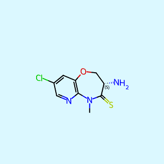 CN1C(=S)[C@@H](N)COc2cc(Cl)cnc21